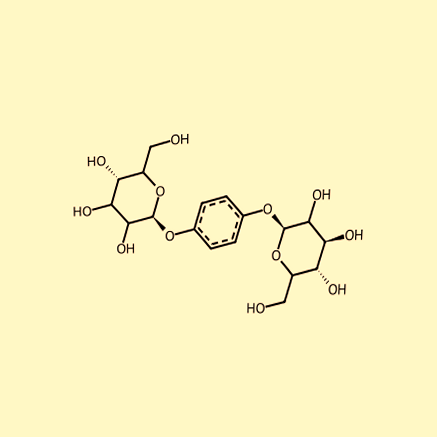 OCC1O[C@@H](Oc2ccc(O[C@@H]3OC(CO)[C@@H](O)[C@H](O)C3O)cc2)C(O)C(O)[C@@H]1O